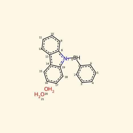 B(c1ccccc1)n1c2ccccc2c2ccccc21.O.O